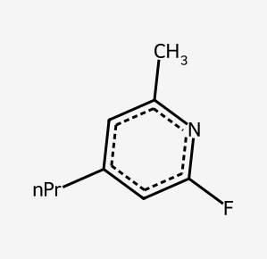 CCCc1cc(C)nc(F)c1